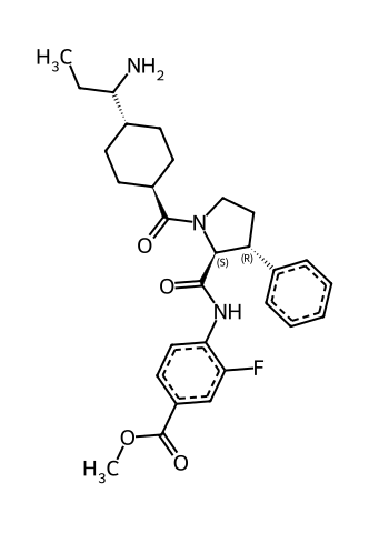 CCC(N)[C@H]1CC[C@H](C(=O)N2CC[C@H](c3ccccc3)[C@H]2C(=O)Nc2ccc(C(=O)OC)cc2F)CC1